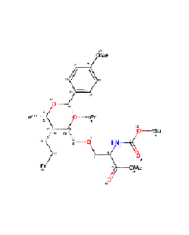 CCCO[C@H](COCC(NC(=O)OC(C)(C)C)C(=O)OC)[C@H](CCC(C)C)[C@H](C)OCc1ccc(OC)cc1